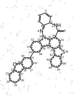 C=C1NC2C=CC=C/C2=N/n2c3ccc(-c4ccc5c(c4)oc4ccccc45)cc3c3c4c(cc1c32)sc1ccccc14